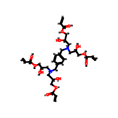 C=CC(=O)OCC(O)CN(Cc1ccc(CN(CC(O)COC(=O)C=C)CC(O)COC(=O)C=C)cc1)CC(O)COC(=O)C=C